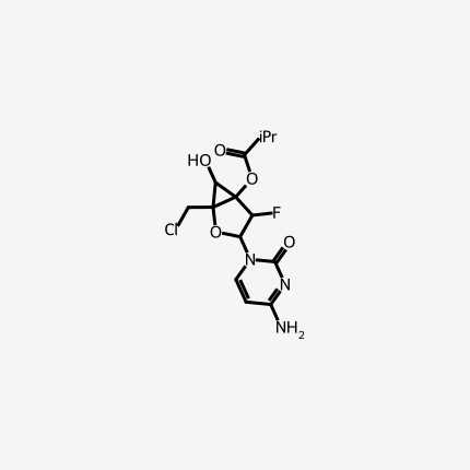 CC(C)C(=O)OC12C(F)C(n3ccc(N)nc3=O)OC1(CCl)C2O